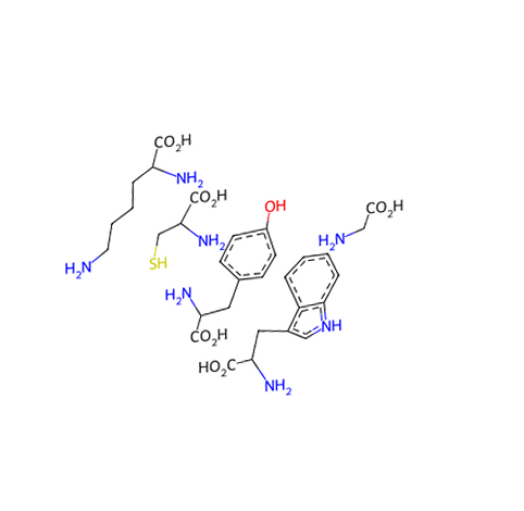 NC(CS)C(=O)O.NC(Cc1c[nH]c2ccccc12)C(=O)O.NC(Cc1ccc(O)cc1)C(=O)O.NCC(=O)O.NCCCCC(N)C(=O)O